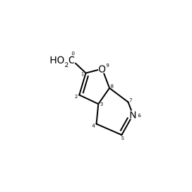 O=C(O)C1=CC2CC=NCC2O1